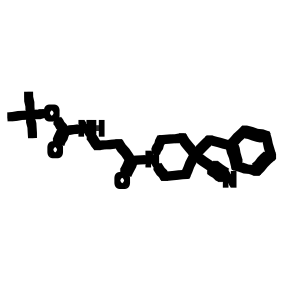 CC(C)(C)OC(=O)NCCC(=O)N1CCC(C#N)(Cc2ccccc2)CC1